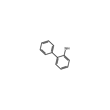 [NH]c1ccccc1-c1ccccc1